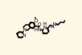 CCC/C=N/N=C/C1=CC=CC(NC(=O)c2cc3c(cc2OC)CCN(c2ccccn2)C3)N1